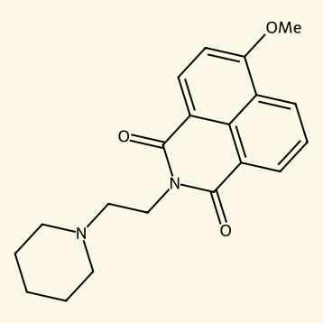 COc1ccc2c3c(cccc13)C(=O)N(CCN1CCCCC1)C2=O